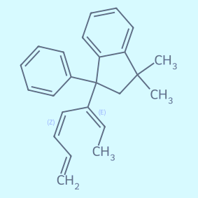 C=C/C=C\C(=C/C)C1(c2ccccc2)CC(C)(C)c2ccccc21